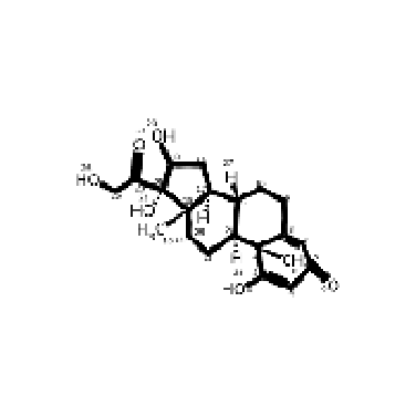 C[C@]12C(O)=CC(=O)C=C1CC[C@@H]1[C@@H]2CC[C@@]2(C)[C@H]1CC(O)[C@]2(O)C(=O)CO